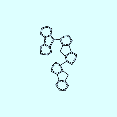 c1ccc2c(c1)Cc1c-2cccc1-c1cccc2c1Cc1c-2cccc1-n1c2ccccc2c2ccccc21